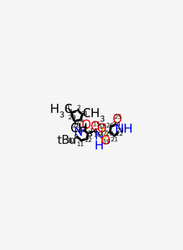 Cc1cc(C)c(Oc2nc(C(C)(C)C)ccc2C(=O)NS(=O)(=O)c2cc[nH]c(=O)c2)c(C)c1